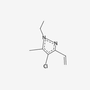 C=Cc1nn(CC)c(C)c1Cl